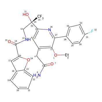 CCOc1c(CC(N)=O)cc([C@@](O)(CNC(=O)c2cc3ccccc3o2)C(F)(F)F)nc1-c1ccc(F)cc1